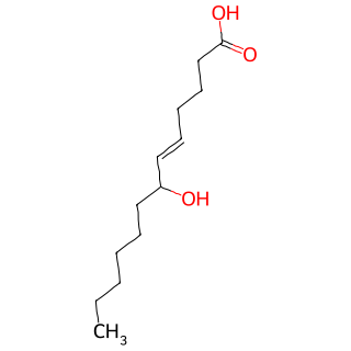 CCCCCCC(O)C=CCCCC(=O)O